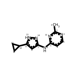 Cc1nccc(Nc2cc(C3CC3)[nH]n2)n1